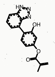 C=C(C)C(=O)Oc1ccc(-c2cccc3[nH]nnc23)c(O)c1